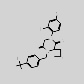 O=C1CN(c2ccc(Cl)cc2F)C(=O)[C@]2(C[C@H](O)C2)N1Cc1ccc(C(F)(F)F)cc1